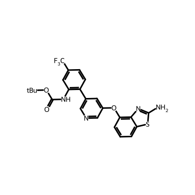 CC(C)(C)OC(=O)Nc1cc(C(F)(F)F)ccc1-c1cncc(Oc2cccc3sc(N)nc23)c1